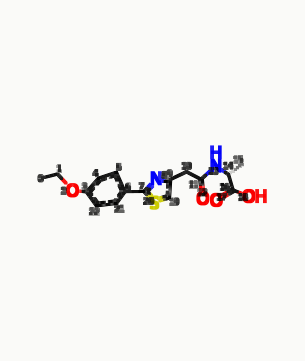 CCOc1ccc(-c2nc(CC(=O)N[C@H](C)C(=O)O)cs2)cc1